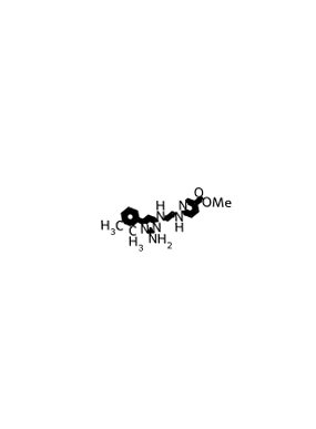 COC(=O)c1ccc(NCCNc2cc(-c3cccc(C)c3C)nc(N)n2)nc1